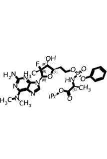 CC(C)OC(=O)[C@H](C)NP(=O)(OCC[C@H]1O[C@@H](n2cnc3c(N(C)C)nc(N)nc32)[C@](C)(F)[C@@H]1O)Oc1ccccc1